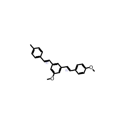 COc1ccc(/C=C/c2cc(/C=C/c3ccc(C)cc3)cc(OC)c2)cc1